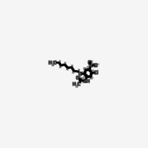 CCCCCCCCOc1cc([N+](=O)[O-])c(Cl)cc1NC(C)=O